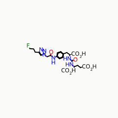 O=C(O)CC[C@H](NC(=O)N[C@@H](Cc1ccc(NC(=O)Cn2cc(CCCF)nn2)cc1)C(=O)O)C(=O)O